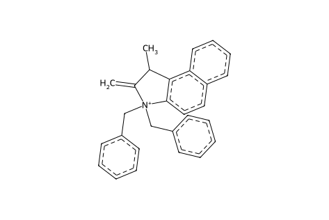 C=C1C(C)c2c(ccc3ccccc23)[N+]1(Cc1ccccc1)Cc1ccccc1